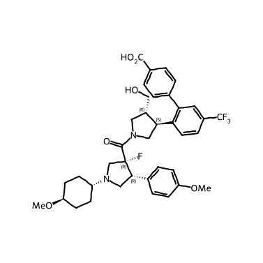 COc1ccc([C@@H]2CN([C@H]3CC[C@H](OC)CC3)C[C@@]2(F)C(=O)N2C[C@H](CO)[C@@H](c3ccc(C(F)(F)F)cc3-c3ccc(C(=O)O)cc3)C2)cc1